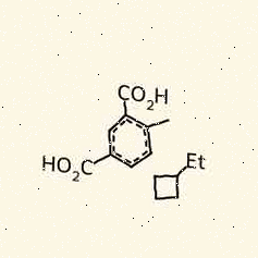 CCC1CCC1.Cc1ccc(C(=O)O)cc1C(=O)O